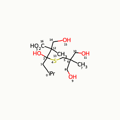 CC(C)CC(O)(SCC(C)(CO)CO)C(C)(CO)C(=O)O